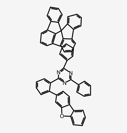 c1ccc(-c2nc(-c3cccc(-c4cccc5c4C4(c6ccccc6-c6ccccc64)c4ccccc4-5)c3)nc(-c3ccccc3-c3ccc4c(c3)oc3ccccc34)n2)cc1